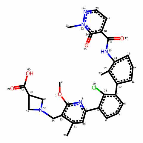 COc1nc(-c2cccc(-c3cccc(NC(=O)c4ccnn(C)c4=O)c3C)c2Cl)cc(C)c1CN1CC(C(=O)O)C1